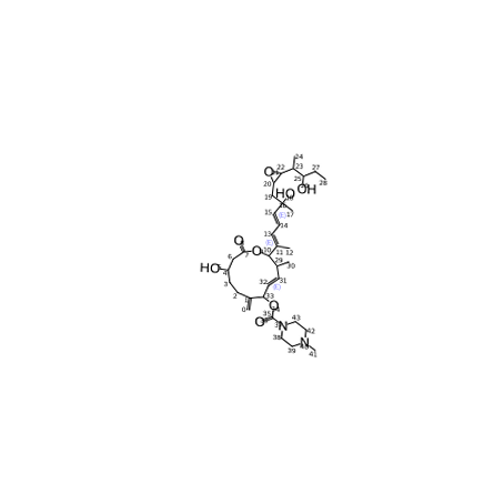 C=C1CCC(O)CC(=O)OC(/C(C)=C/C=C/C(C)(O)CC2OC2C(C)C(O)CC)C(C)/C=C/C1OC(=O)N1CCN(C)CC1